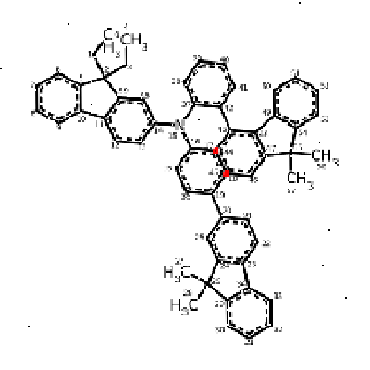 CCC1(CC)c2ccccc2-c2ccc(N(c3ccc(-c4ccc5c(c4)C(C)(C)c4ccccc4-5)cc3)c3ccccc3-c3cccc4c3-c3ccccc3C4(C)C)cc21